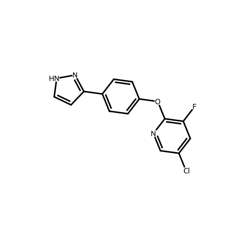 Fc1cc(Cl)cnc1Oc1ccc(-c2cc[nH]n2)cc1